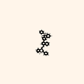 CC(Nc1ccccc1)(c1ccccc1)c1ccc(-c2ccc(C/C=C(\C=C(/N)c3ccccc3)c3ccccc3)c3ccccc23)cc1